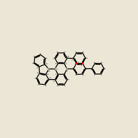 c1ccc(-c2ccc(N3c4cccc5c4B(c4cccc(-c6ccccc6)c43)n3c4ccccc4c4cccc-5c43)cc2)cc1